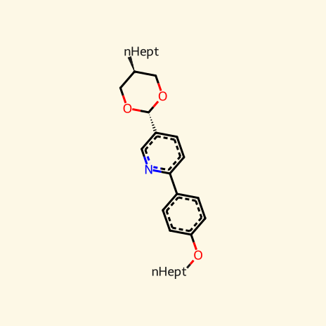 CCCCCCCOc1ccc(-c2ccc([C@H]3OC[C@H](CCCCCCC)CO3)cn2)cc1